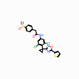 CC[S+]([O-])c1ccc(CC(=O)Nc2cc(Cl)c(C3(c4noc(-c5cccs5)n4)CC3)c(Cl)c2)cc1